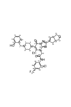 CCc1c(N2CCN(Cc3ncccc3O)CC2)c(=O)n2nc(C3=CC4COCC4C3)nc2n1CC(=O)Nc1ccc(C(F)(F)F)cc1Cl